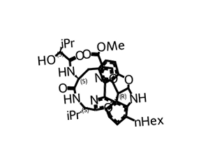 CCCCCCc1cccc2c1NC1Oc3ccc4cc3[C@]21c1oc(nc1-c1nc(C(=O)OC)co1)[C@H](C(C)C)NC(=O)[C@@H](NC(=O)[C@@H](O)C(C)C)C4